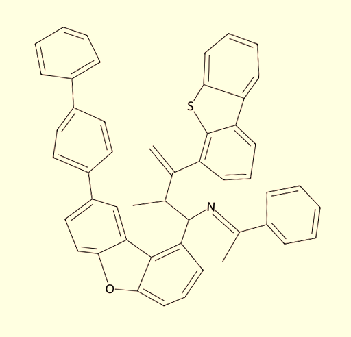 C=C(c1cccc2c1sc1ccccc12)C(C)C(/N=C(\C)c1ccccc1)c1cccc2oc3ccc(-c4ccc(-c5ccccc5)cc4)cc3c12